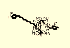 C[C@@H](O)[C@@H](O)[C@H](CO[C@H]1OC(CNC(=O)Cc2ccc(F)c(F)c2)[C@H](O)C(O)C1O)NC(=O)CCCCCCCCCCc1ccc(F)c(F)c1